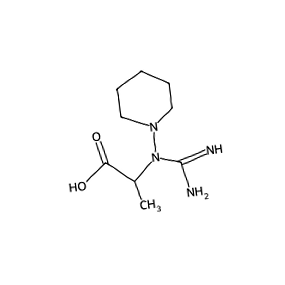 CC(C(=O)O)N(C(=N)N)N1CCCCC1